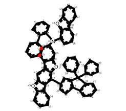 c1ccc(-c2ccccc2N(c2ccc3c(c2)oc2c(-c4ccc5c(c4)C(c4ccccc4)(c4ccccc4)c4ccccc4-5)c4c(cc23)oc2ccccc24)c2cccc3c2oc2ccccc23)cc1